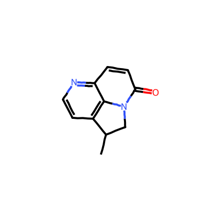 CC1Cn2c(=O)ccc3nccc1c32